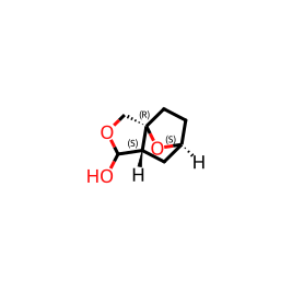 OC1OC[C@@]23CC[C@@H](C[C@H]12)O3